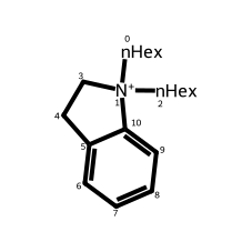 CCCCCC[N+]1(CCCCCC)CCc2ccccc21